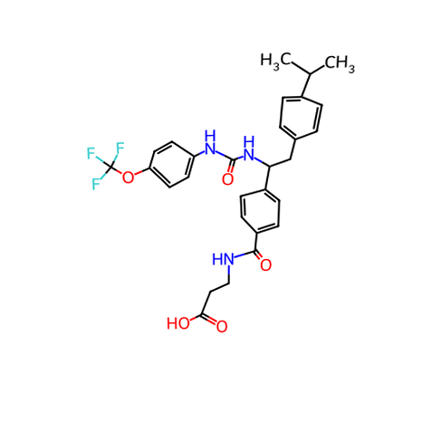 CC(C)c1ccc(CC(NC(=O)Nc2ccc(OC(F)(F)F)cc2)c2ccc(C(=O)NCCC(=O)O)cc2)cc1